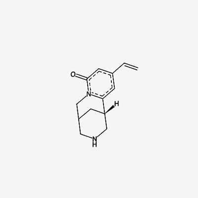 C=Cc1cc2n(c(=O)c1)CC1CNC[C@@H]2C1